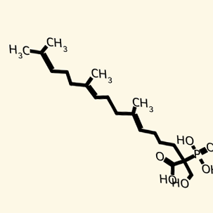 CC(C)=CCC/C(C)=C/CC/C(C)=C/CCCC(CO)(C(=O)O)P(=O)(O)O